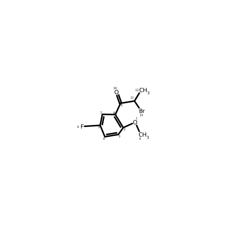 COc1ccc(F)cc1C(=O)C(C)Br